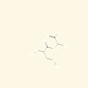 CNC(CSC)C(=O)NC(C)C(=O)O